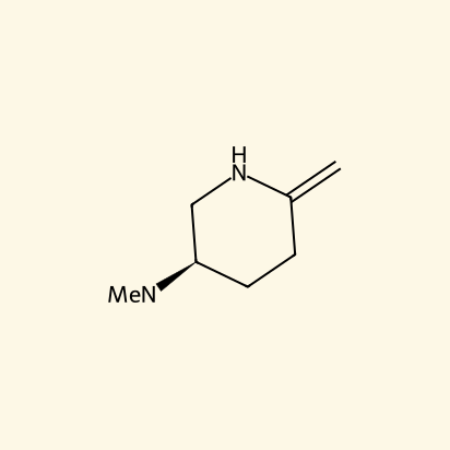 C=C1CC[C@@H](NC)CN1